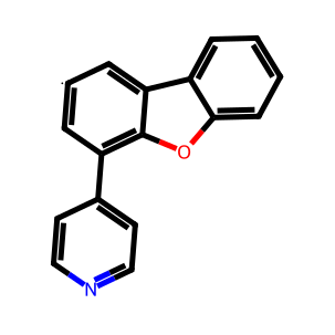 [c]1cc(-c2ccncc2)c2oc3ccccc3c2c1